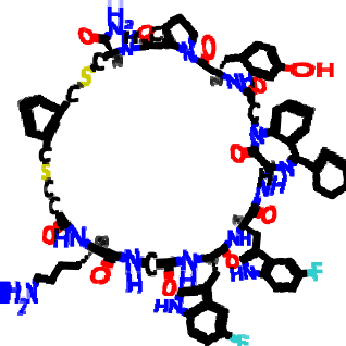 C[C@@]12CCCN1C(=O)[C@H](Cc1ccc(O)cc1)NC(=O)CN1C(=O)[C@H](N=C(C3CCCCC3)c3ccccc31)NC(=O)[C@@H](Cc1c[nH]c3ccc(F)cc13)NC(=O)[C@H](Cc1c[nH]c3ccc(F)cc13)NC(=O)CNC(=O)[C@H](CCCCN)NC(=O)CCSCc1cccc(c1)CSC[C@@H](C(N)=O)NC2=O